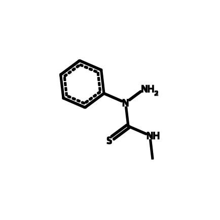 CNC(=S)N(N)c1ccccc1